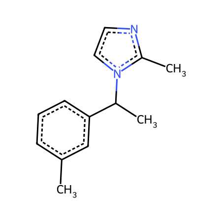 Cc1cccc(C(C)n2ccnc2C)c1